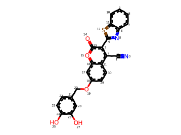 N#Cc1c(-c2nc3ccccc3s2)c(=O)oc2cc(OCc3ccc(O)c(O)c3)ccc12